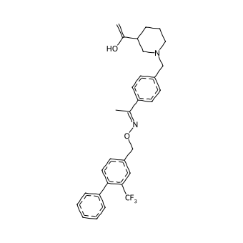 C=C(O)C1CCCN(Cc2ccc(/C(C)=N/OCc3ccc(-c4ccccc4)c(C(F)(F)F)c3)cc2)C1